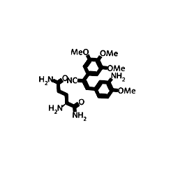 COc1ccc(C=C(C#N)c2cc(OC)c(OC)c(OC)c2)cc1N.NC(=O)CC[C@@H](N)C(N)=O